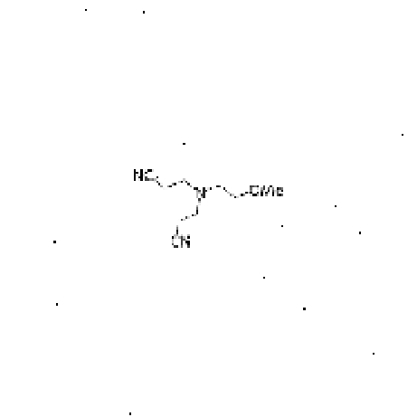 COCCN(CCC#N)CCC#N